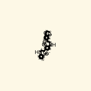 O=S1(=O)c2cc(C3CNc4ccccc4[S+]3[O-])ccc2NCC1c1ccc2c(c1)OCCO2